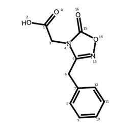 O=C(O)Cn1c(Cc2ccccc2)noc1=O